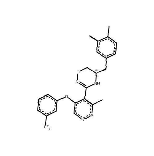 Cc1ccc(C[C@@H]2CON=C(c3c(Oc4cccc(C(F)(F)F)c4)cnnc3C)N2)cc1C